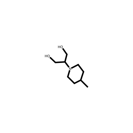 CC1CCN(C(CO)CO)CC1